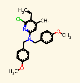 C=Cc1c(C)cc(N(Cc2ccc(OC)cc2)Cc2ccc(OC)cc2)nc1Cl